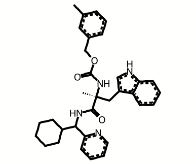 Cc1cccc(COC(=O)N[C@@](C)(Cc2c[nH]c3ccccc23)C(=O)NC(c2ccccn2)C2CCCCC2)c1